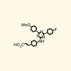 COc1ccc(-c2nc(Nc3ccc(C=CC(=O)O)cc3)nc(-c3ccc(F)cc3)n2)cc1